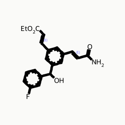 CCOC(=O)/C=C/c1cc(/C=C/C(N)=O)cc(C(O)c2cccc(F)c2)c1